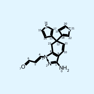 Nc1nn(C=CC=O)c2c1C=CC(c1ccsc1)(c1ccsc1)C2